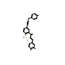 COc1ccc(CC#Cc2ccc3c(c2)C(=O)/C(=C/c2ccc(Cl)c(F)c2)[S+]([O-])N3C)cc1